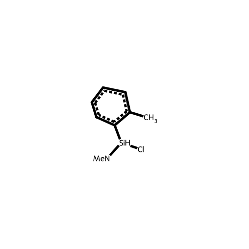 CN[SiH](Cl)c1ccccc1C